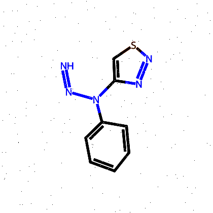 N=NN(c1ccccc1)c1csnn1